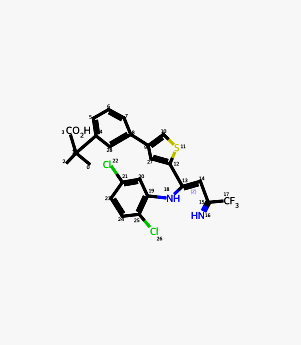 CC(C)(C(=O)O)c1cccc(-c2csc(/C(=C/C(=N)C(F)(F)F)Nc3cc(Cl)ccc3Cl)c2)c1